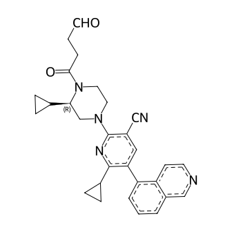 N#Cc1cc(-c2cccc3cnccc23)c(C2CC2)nc1N1CCN(C(=O)CCC=O)[C@H](C2CC2)C1